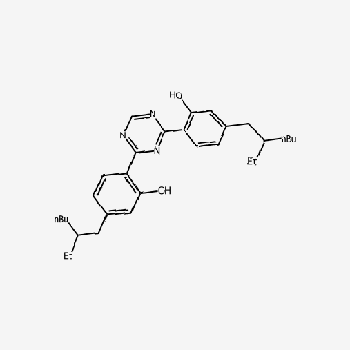 CCCCC(CC)Cc1ccc(-c2ncnc(-c3ccc(CC(CC)CCCC)cc3O)n2)c(O)c1